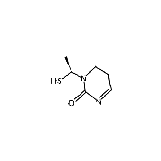 C[C@H](S)N1CCC=NC1=O